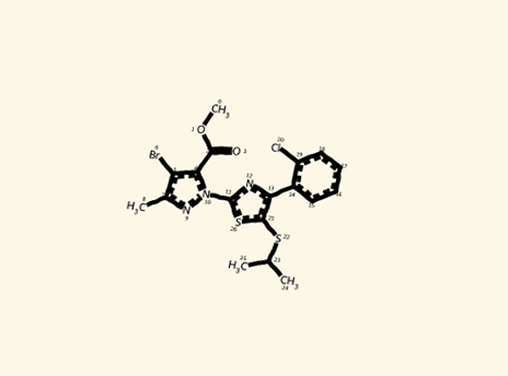 COC(=O)c1c(Br)c(C)nn1-c1nc(-c2ccccc2Cl)c(SC(C)C)s1